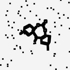 Cc1ccc2c(c1)C(C)c1cc(C)ccc1OC(=O)O2